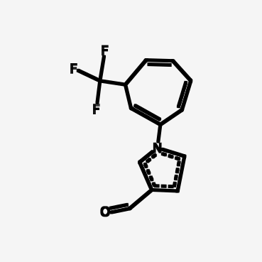 O=Cc1ccn(C2=CC(C(F)(F)F)C=CC=C2)c1